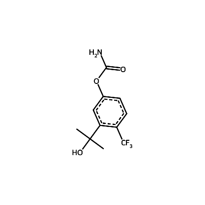 CC(C)(O)c1cc(OC(N)=O)ccc1C(F)(F)F